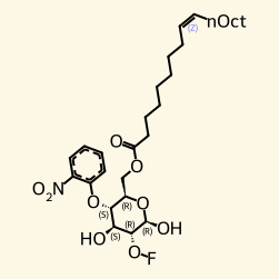 CCCCCCCC/C=C\CCCCCCCC(=O)OC[C@H]1O[C@@H](O)[C@H](OF)[C@@H](O)[C@@H]1Oc1ccccc1[N+](=O)[O-]